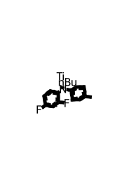 CCCCN(c1ccc(C)cc1)c1ccc(F)[c]c1F.[Ti]